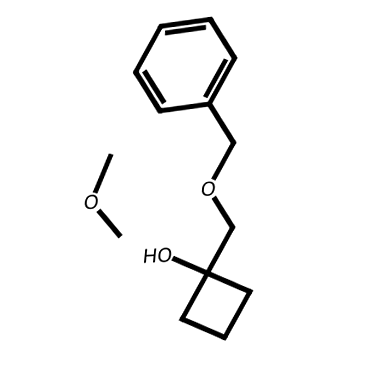 COC.OC1(COCc2ccccc2)CCC1